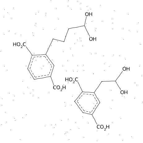 O=C(O)c1ccc(C(=O)O)c(CC(O)O)c1.O=C(O)c1ccc(C(=O)O)c(CCCC(O)O)c1